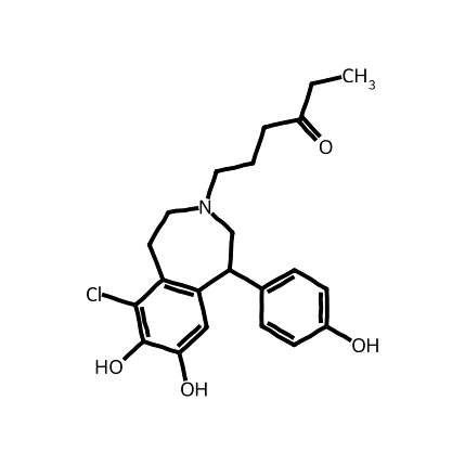 CCC(=O)CCCN1CCc2c(cc(O)c(O)c2Cl)C(c2ccc(O)cc2)C1